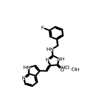 Cl.Cl.O=C1NC(NCc2cccc(F)c2)=N/C1=C\c1c[nH]c2ncccc12